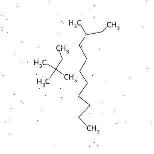 CCC(C)(C)C.CCCCCCCCC(C)CC